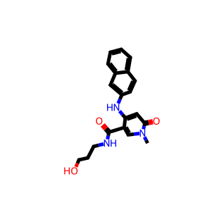 Cn1cc(C(=O)NCCCO)c(Nc2ccc3ccccc3c2)cc1=O